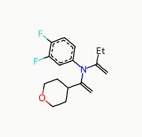 C=C(CC)N(C(=C)C1CCOCC1)c1ccc(F)c(F)c1